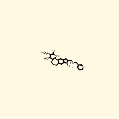 Cn1c(CNCc2cccnc2)cc2cc3c(cc21)CCCc1c-3[nH]c(=O)c(C(=O)O)c1O